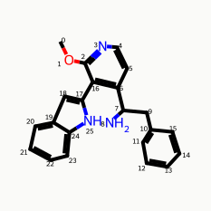 COc1nccc(C(N)Cc2ccccc2)c1-c1cc2ccccc2[nH]1